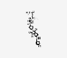 C/C(Cl)=C\C=C(/C)S(=O)(=O)NC(=O)Nc1ccc(-n2c(=O)[nH]c3cc(NCc4ccc(Cl)cc4)ccc3c2=O)cc1